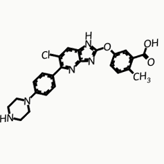 Cc1ccc(Oc2nc3nc(-c4ccc(N5CCNCC5)cc4)c(Cl)cc3[nH]2)cc1C(=O)O